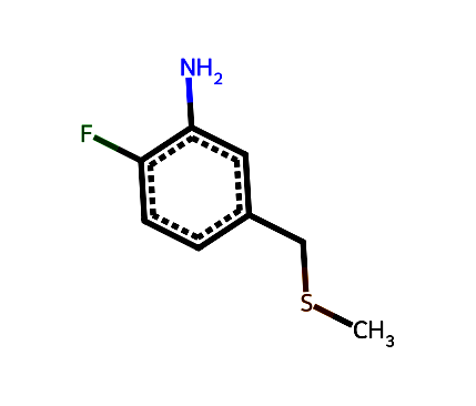 CSCc1ccc(F)c(N)c1